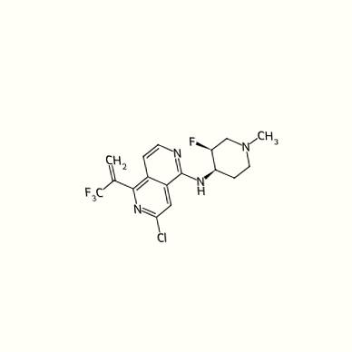 C=C(c1nc(Cl)cc2c(N[C@@H]3CCN(C)C[C@@H]3F)nccc12)C(F)(F)F